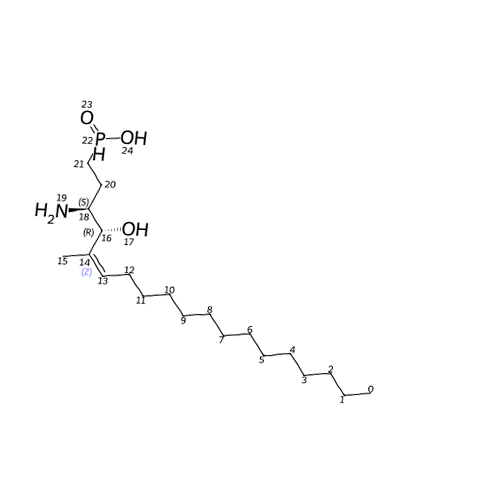 CCCCCCCCCCCCC/C=C(/C)[C@@H](O)[C@@H](N)CC[PH](=O)O